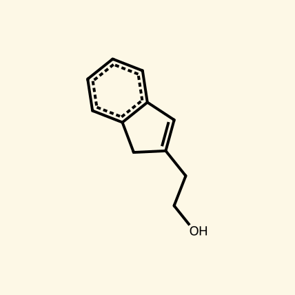 OCCC1=Cc2ccccc2C1